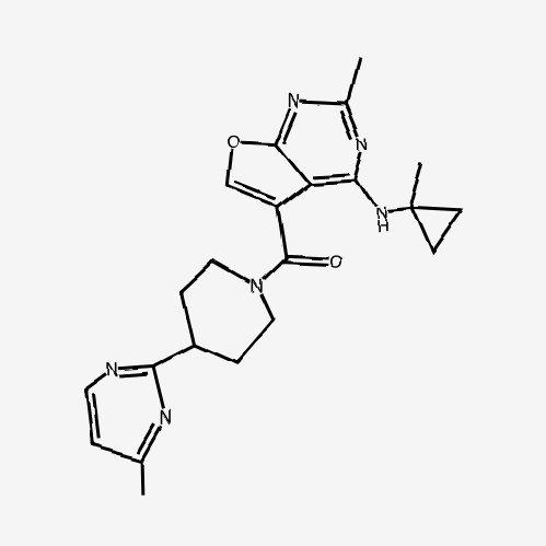 Cc1ccnc(C2CCN(C(=O)c3coc4nc(C)nc(NC5(C)CC5)c34)CC2)n1